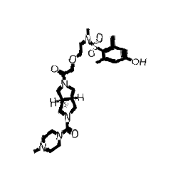 Cc1cc(O)cc(C)c1S(=O)(=O)N(C)CCOCC(=O)N1C[C@@H]2CN(C(=O)N3CCN(C)CC3)C[C@@H]2C1